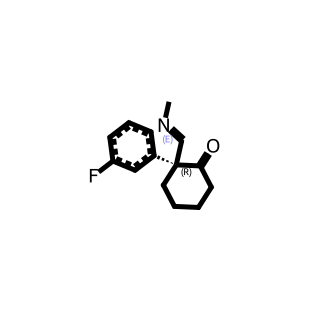 C/N=C/[C@]1(c2cccc(F)c2)CCCCC1=O